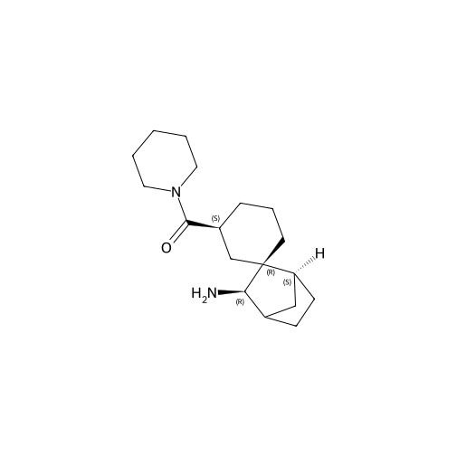 N[C@@H]1C2CC[C@@H](C2)[C@]12CCC[C@H](C(=O)N1CCCCC1)C2